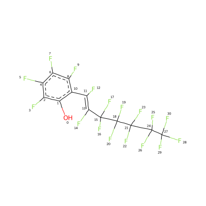 Oc1c(F)c(F)c(F)c(F)c1C(F)=C(F)C(F)(F)C(F)(F)C(F)(F)C(F)(F)C(F)(F)F